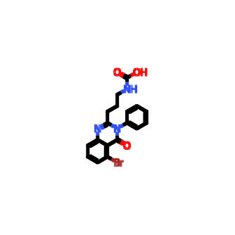 O=C(O)NCCCc1nc2cccc(Br)c2c(=O)n1-c1ccccc1